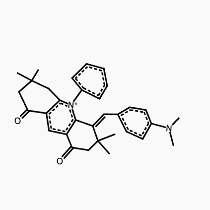 CN(C)c1ccc(C=C2c3c(cc4c([n+]3-c3ccccc3)CC(C)(C)CC4=O)C(=O)CC2(C)C)cc1